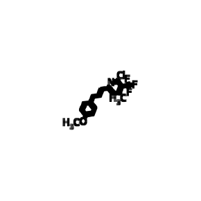 COc1ccc(C/C=C/c2cc(C)c(C(F)(F)F)c(Cl)n2)cc1